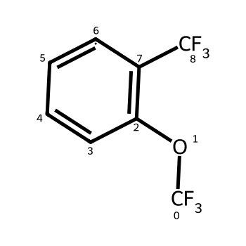 FC(F)(F)Oc1ccc[c]c1C(F)(F)F